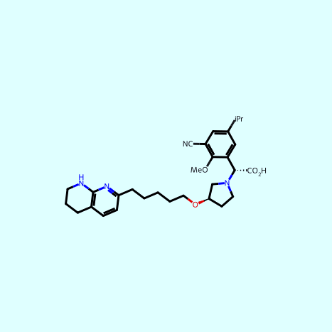 COc1c(C#N)cc(C(C)C)cc1[C@H](C(=O)O)N1CC[C@@H](OCCCCCc2ccc3c(n2)NCCC3)C1